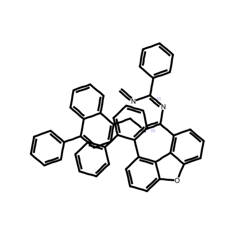 C=N/C(=N\C(=N/Cc1ccc(-c2ccccc2)c2ccccc12)c1cccc2oc3cccc(-c4ccccc4-c4ccccc4)c3c12)c1ccccc1